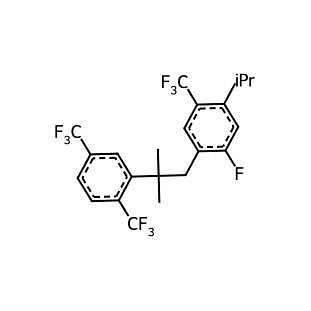 CC(C)c1cc(F)c(CC(C)(C)c2cc(C(F)(F)F)ccc2C(F)(F)F)cc1C(F)(F)F